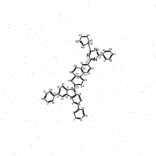 c1ccc(-c2ccc3c(c2)c2cc(-c4ccccc4)ccc2n3-c2ccc3c(ccc4cc(-c5nc(-c6ccccc6)nc(-c6ccccc6)n5)ccc43)c2)cc1